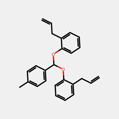 C=CCc1ccccc1OC(Oc1ccccc1CC=C)c1ccc(C)cc1